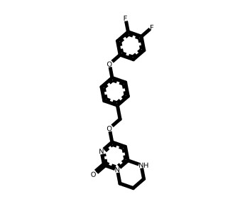 O=c1nc(OCc2ccc(Oc3ccc(F)c(F)c3)cc2)cc2n1CCCN2